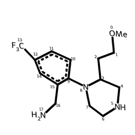 COCCC1CNCCN1c1ccc(C(F)(F)F)cc1CN